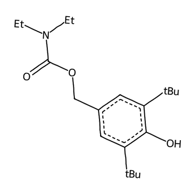 CCN(CC)C(=O)OCc1cc(C(C)(C)C)c(O)c(C(C)(C)C)c1